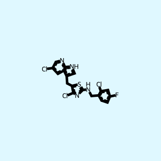 Fc1ccc(CNc2nc(Cl)c(Cc3c[nH]c4ncc(Cl)cc34)s2)c(Cl)c1